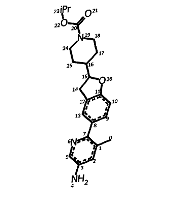 Cc1cc(N)cnc1-c1ccc2c(c1)CC(C1CCN(C(=O)OC(C)C)CC1)O2